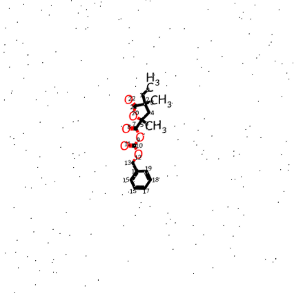 CCC1(C)CC(C)(C(=O)OC(=O)OCc2ccccc2)OC1=O